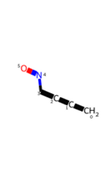 C=C=C=CN=O